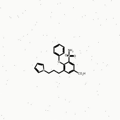 NS(=O)(=O)c1cc(C(=O)O)cc(CCCn2cccc2)c1Oc1ccccc1